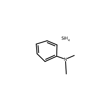 CN(C)c1ccccc1.[SiH4]